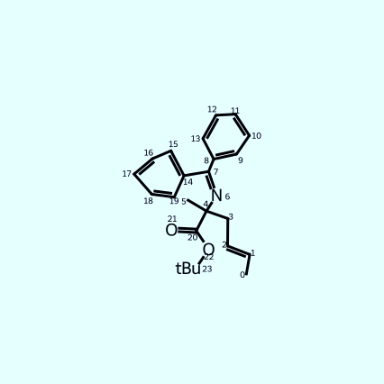 C/C=C/CC(C)(N=C(c1ccccc1)c1ccccc1)C(=O)OC(C)(C)C